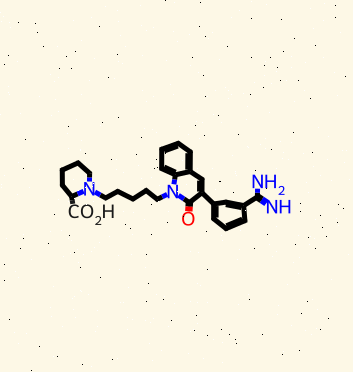 N=C(N)c1cccc(-c2cc3ccccc3n(CCCCCN3CCCCC3C(=O)O)c2=O)c1